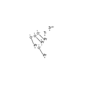 CC(C)[O-].CC(C)[O-].CC(C)[O-].CC(C)[O-].[Ti].[Zr+4]